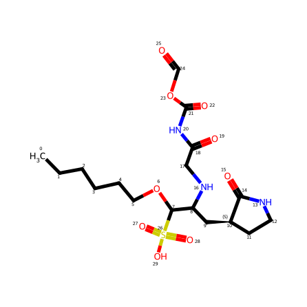 CCCCCCOC(C(C[C@@H]1CCNC1=O)NCC(=O)NC(=O)OC=O)S(=O)(=O)O